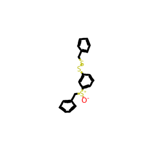 [O-][S+](Cc1ccccc1)c1cccc(SSCc2ccccc2)c1